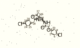 O=C(COc1ccc(Cl)cc1)NCCC1(NC(=O)Cc2ccc(Cl)cc2)CCC1